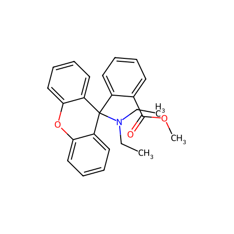 CCN(CC)C1(c2ccccc2C(=O)OC)c2ccccc2Oc2ccccc21